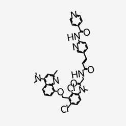 Cc1cc(N(C)C)c2cccc(OCc3c(Cl)ccc(N(C)C(=O)CNC(=O)C=Cc4ccc(NC(=O)c5ccncc5)nc4)c3Cl)c2n1